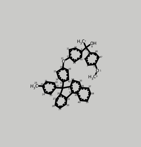 COc1ccc(C(C)(O)c2ccc(Oc3ccc(C4(c5ccc(C)cc5)c5ccccc5-c5c4ccc4ccccc54)cc3)cc2)cc1